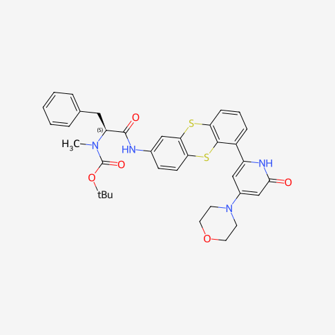 CN(C(=O)OC(C)(C)C)[C@@H](Cc1ccccc1)C(=O)Nc1ccc2c(c1)Sc1cccc(-c3cc(N4CCOCC4)cc(=O)[nH]3)c1S2